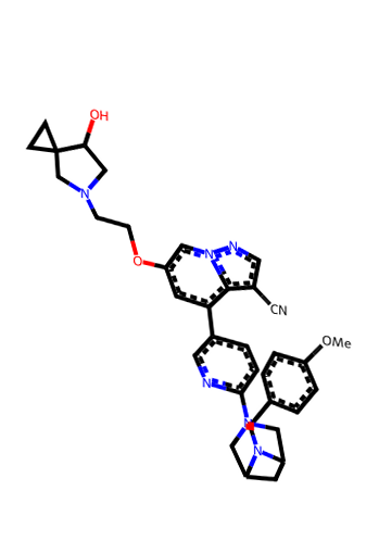 COc1ccc(CN2C3CC2CN(c2ccc(-c4cc(OCCN5CC(O)C6(CC6)C5)cn5ncc(C#N)c45)cn2)C3)cc1